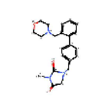 CCCN1C(=O)CN(Cc2ccc(-c3ccccc3CN3CCOCC3)cc2)C1=O